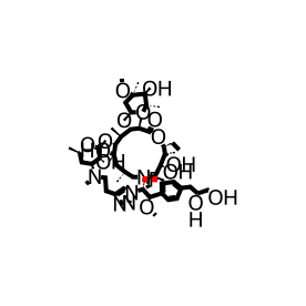 CC[C@H]1OC(=O)[C@H](C)[C@@H](O[C@H]2C[C@@](C)(OC)[C@@H](O)[C@H](C)O2)[C@H](C)[C@@H](O[C@@H]2O[C@H](C)C[C@H](N(C)CCc3cn([C@H](CF)[C@H](OC)c4ccc(CC(O)CO)cc4)nn3)[C@H]2O)[C@](C)(O)C[C@@H](C)CN(C)[C@H](C)[C@@H](O)[C@]1(C)O